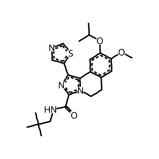 COc1cc2c(cc1OC(C)C)-c1c(-c3cncs3)nc(C(=O)NCC(C)(C)C)n1CC2